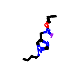 CCCCn1cnc(CN(I)OCCC)c1